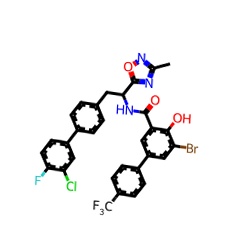 Cc1noc(C(Cc2ccc(-c3ccc(F)c(Cl)c3)cc2)NC(=O)c2cc(-c3ccc(C(F)(F)F)cc3)cc(Br)c2O)n1